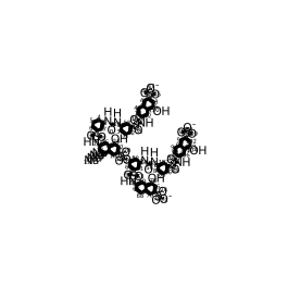 O=C(Nc1cccc(S(=O)(=O)Nc2ccc3cc(S(=O)(=O)[O-])cc(O)c3c2)c1)Nc1cccc(S(=O)(=O)Nc2ccc3cc(S(=O)(=O)[O-])cc(O)c3c2)c1.O=C(Nc1cccc(S(=O)(=O)Nc2ccc3cc(S(=O)(=O)[O-])cc(O)c3c2)c1)Nc1cccc(S(=O)(=O)Nc2ccc3cc(S(=O)(=O)[O-])cc(O)c3c2)c1.[Na+].[Na+].[Na+].[Na+]